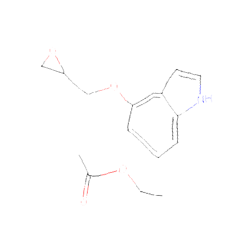 CCOC(C)=O.c1cc(OCC2CO2)c2cc[nH]c2c1